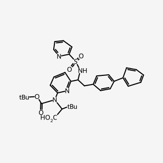 CC(C)(C)OC(=O)N(c1cccc(C(Cc2ccc(-c3ccccc3)cc2)NS(=O)(=O)c2ccccn2)n1)C(C(=O)O)C(C)(C)C